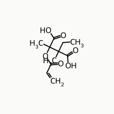 C=CC(=O)OC(C)(C(=O)O)C(C)(CC)C(=O)O